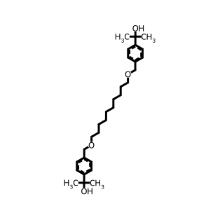 CC(C)(O)c1ccc(COCCCCCCCCCCOCc2ccc(C(C)(C)O)cc2)cc1